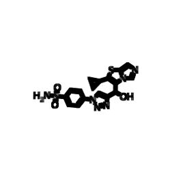 NS(=O)(=O)c1ccc(-n2cc(C(O)c3c(C4CC4)sc4cncn34)nn2)cc1